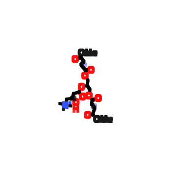 COC(=O)/C=C/C(=O)OCC(COC(=O)/C=C/C(=O)OC)OC(=O)C[C@@H](O)C[N+](C)(C)C